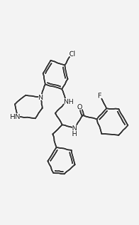 O=C(NC(CNc1cc(Cl)ccc1N1CCNCC1)Cc1ccccc1)C1=C(F)C=CCC1